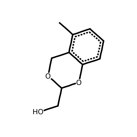 Cc1cccc2c1COC(CO)O2